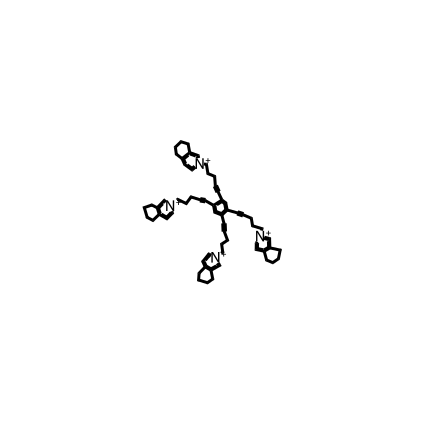 C(#Cc1cc(C#CCCC[n+]2ccc3c(c2)CCCC3)c(C#CCCC[n+]2ccc3c(c2)CCCC3)cc1C#CCCC[n+]1ccc2c(c1)CCCC2)CCC[n+]1ccc2c(c1)CCCC2